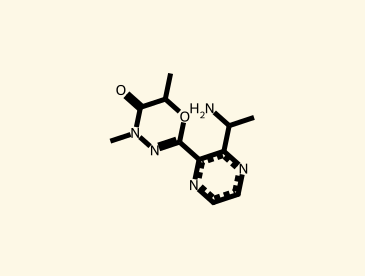 CC1OC(c2nccnc2C(C)N)=NN(C)C1=O